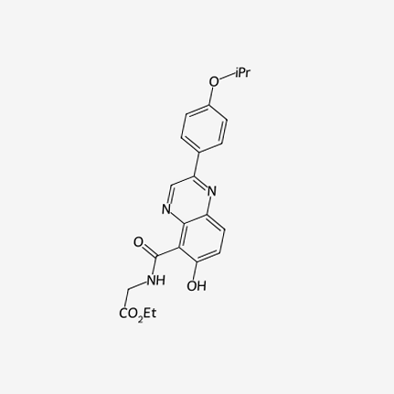 CCOC(=O)CNC(=O)c1c(O)ccc2nc(-c3ccc(OC(C)C)cc3)cnc12